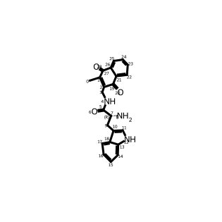 CC1=C(CNC(=O)[C@H](N)Cc2c[nH]c3ccccc23)C(=O)c2ccccc2C1=O